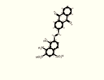 Nc1c(S(=O)(=O)O)cc(S(=O)(=O)O)c2ccc(N=Nc3ccc4c(c3)C(=O)c3ccccc3C4=O)c(O)c12